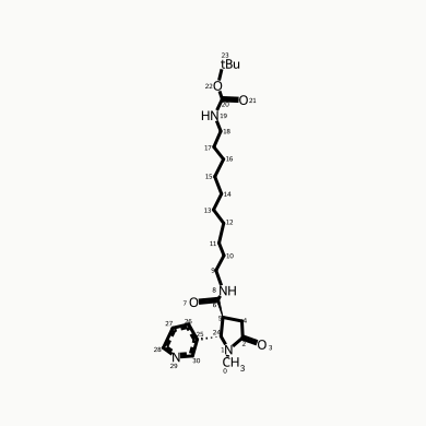 CN1C(=O)C[C@H](C(=O)NCCCCCCCCCCNC(=O)OC(C)(C)C)[C@H]1c1cccnc1